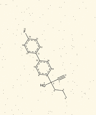 C#CC(O)(CCC)c1ccc(-c2ccc(F)cc2)cc1